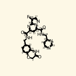 O=C1COc2ccc(CNC(=O)c3cc(C(=O)NCc4ccncn4)n4ncc(F)c4n3)cc2N1